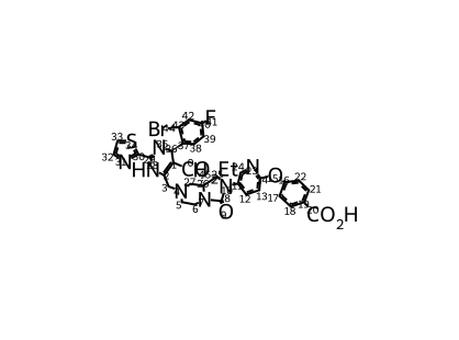 CCOC(=O)C1=C(CN2CCN3C(=O)N(c4ccc(Oc5ccc(C(=O)O)cc5)nc4)C[C@@H]3C2)NC(c2nccs2)=N[C@H]1c1ccc(F)cc1Br